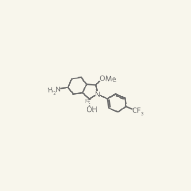 COC1C2CCC(N)CC2[C@@H](O)N1C1=CCC(C(F)(F)F)C=C1